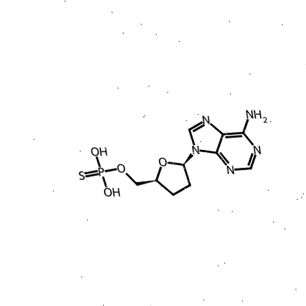 Nc1ncnc2c1ncn2[C@H]1CC[C@@H](COP(O)(O)=S)O1